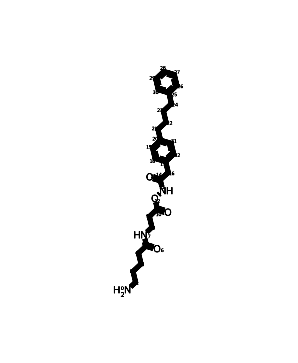 NCCCCC(=O)NCCC(=O)ONC(=O)Cc1ccc(CCCCc2ccccc2)cc1